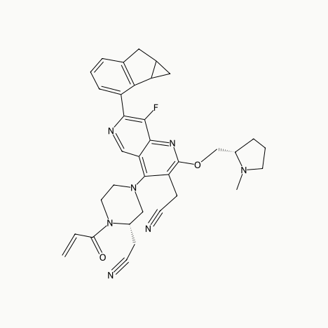 C=CC(=O)N1CCN(c2c(CC#N)c(OC[C@@H]3CCCN3C)nc3c(F)c(-c4cccc5c4C4CC4C5)ncc23)C[C@@H]1CC#N